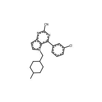 CC1CCC(Cn2ccc3nc(C#N)nc(-c4cccc(Cl)c4)c32)CC1